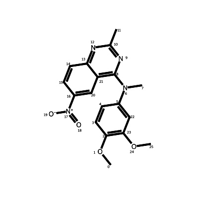 COc1ccc(N(C)c2nc(C)nc3ccc([N+](=O)[O-])cc23)cc1OC